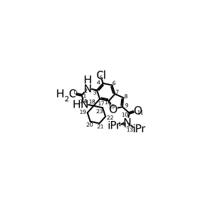 C=C1Nc2c(Cl)cc3cc(C(=O)N(C(C)C)C(C)C)oc3c2C2(CCCCC2)N1